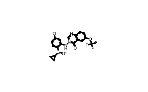 O=c1c2cc(OC(F)(F)F)ccc2ncn1Nc1cc(Cl)ccc1[S+]([O-])C1CC1